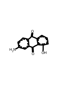 Nc1ccc2c(c1)C(=O)c1c(O)cccc1C2=O